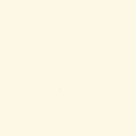 CC(=O)OSCCCC(F)(F)C(F)(F)C(F)(F)F